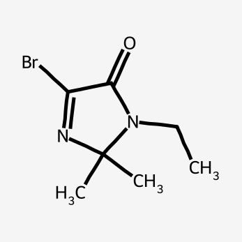 CCN1C(=O)C(Br)=NC1(C)C